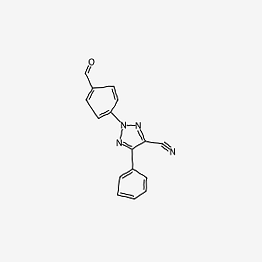 N#Cc1nn(-c2ccc(C=O)cc2)nc1-c1ccccc1